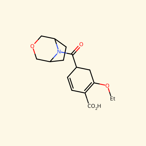 CCOC1=C(C(=O)O)C=CC(C(=O)N2C3CCC2COC3)C1